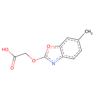 Cc1ccc2nc(OCC(=O)O)oc2c1